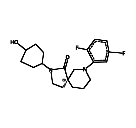 O=C1N(C2CCC(O)CC2)CC[C@]12CCCN(c1cc(F)ccc1F)C2